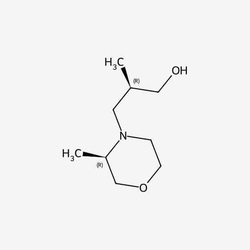 C[C@@H](CO)CN1CCOC[C@H]1C